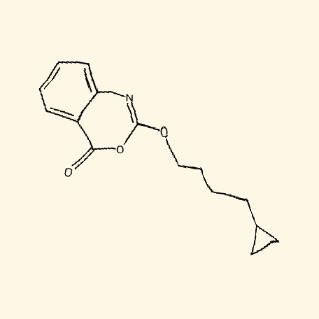 O=c1oc(OCCCCC2CC2)nc2ccccc12